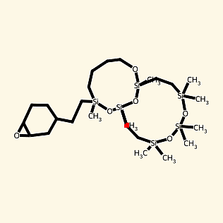 C[Si]1(C)CC[Si]2(C)OCCCC[Si](C)(CCC3CCC4OC4C3)O[Si](C)(CC[Si](C)(C)O[Si](C)(C)O1)O2